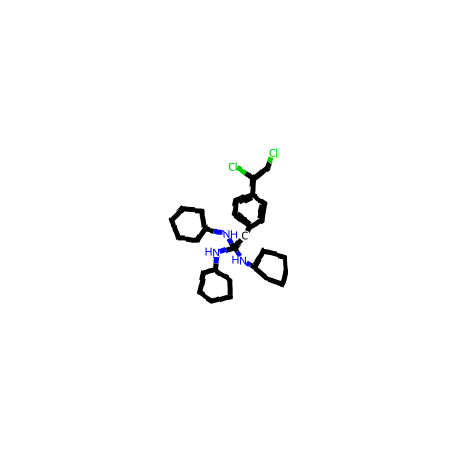 ClCC(Cl)c1ccc(CC(NC2CCCCC2)(NC2CCCCC2)NC2CCCCC2)cc1